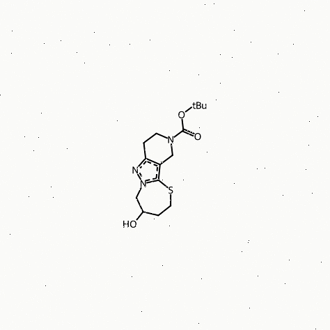 CC(C)(C)OC(=O)N1CCc2nn3c(c2C1)SCCC(O)C3